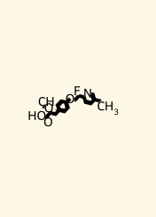 CCOC(Cc1ccc(OCC(F)c2ccc(CC)cn2)cc1)C(=O)O